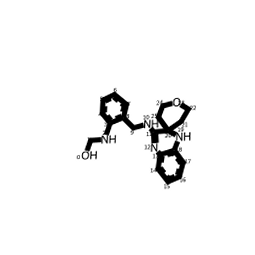 OCNc1ccccc1CNC1=Nc2ccccc2NC12CCOCC2